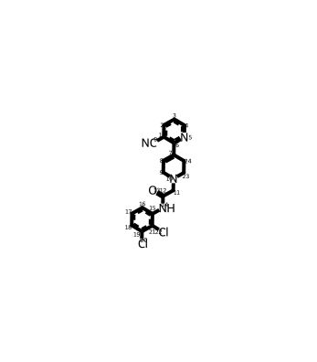 N#Cc1cccnc1C1=CCN(CC(=O)Nc2cccc(Cl)c2Cl)CC1